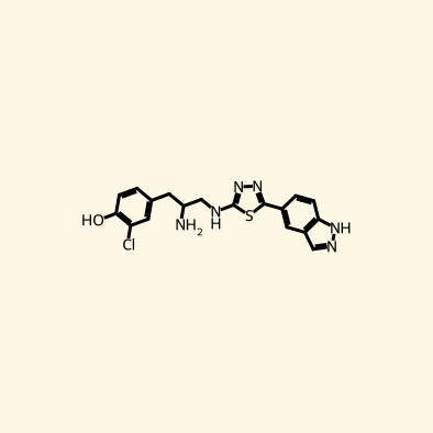 NC(CNc1nnc(-c2ccc3[nH]ncc3c2)s1)Cc1ccc(O)c(Cl)c1